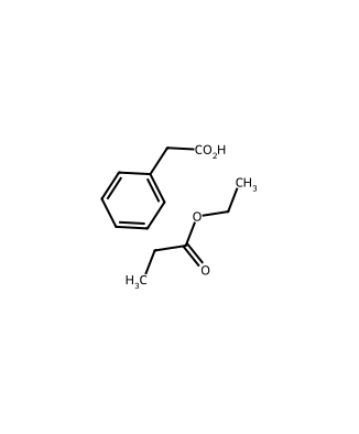 CCOC(=O)CC.O=C(O)Cc1ccccc1